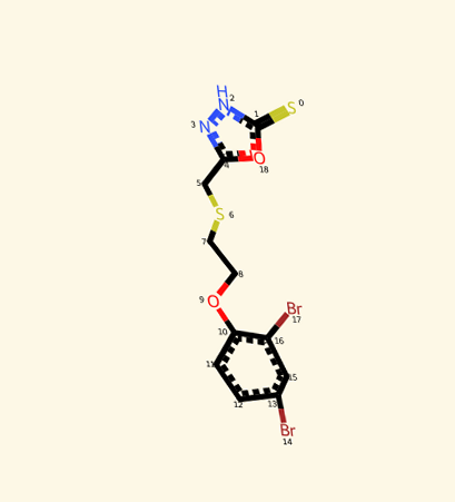 S=c1[nH]nc(CSCCOc2ccc(Br)cc2Br)o1